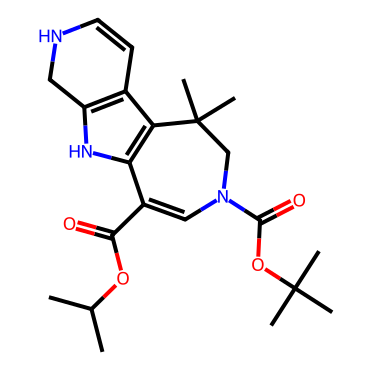 CC(C)OC(=O)C1=CN(C(=O)OC(C)(C)C)CC(C)(C)c2c1[nH]c1c2C=CNC1